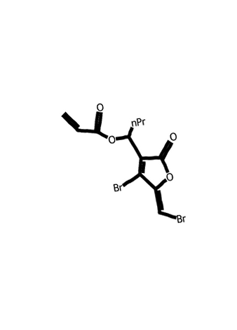 C=CC(=O)OC(CCC)C1=C(Br)C(=CBr)OC1=O